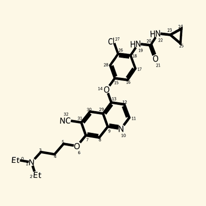 CCN(CC)CCCOc1cc2nccc(Oc3ccc(NC(=O)NC4CC4)c(Cl)c3)c2cc1C#N